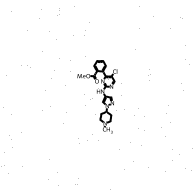 COC(=O)c1ccccc1-c1nc(Nc2cnn(C3CCN(C)CC3)c2)ncc1Cl